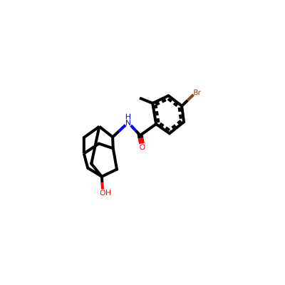 Cc1cc(Br)ccc1C(=O)NC1C2CC3CC1CC(O)(C3)C2